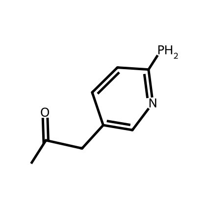 CC(=O)Cc1ccc(P)nc1